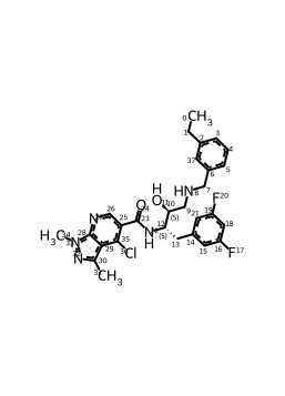 CCc1cccc(CNC[C@H](O)[C@H](Cc2cc(F)cc(F)c2)NC(=O)c2cnc3c(c(C)nn3C)c2Cl)c1